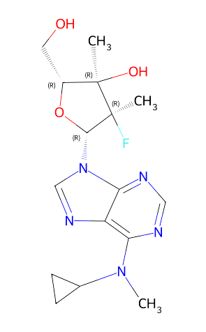 CN(c1ncnc2c1ncn2[C@@H]1O[C@H](CO)[C@@](C)(O)[C@@]1(C)F)C1CC1